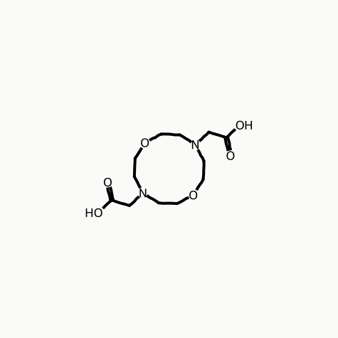 O=C(O)CN1CCOCCN(CC(=O)O)CCOCC1